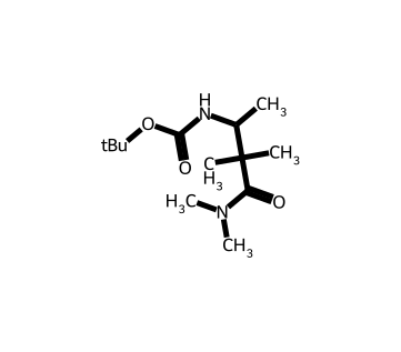 CC(NC(=O)OC(C)(C)C)C(C)(C)C(=O)N(C)C